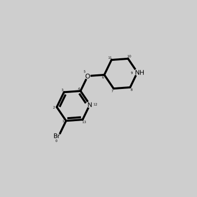 Brc1ccc(OC2CCNCC2)nc1